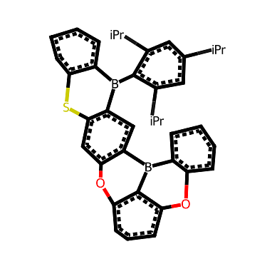 CC(C)c1cc(C(C)C)c(B2c3ccccc3Sc3cc4c(cc32)B2c3ccccc3Oc3cccc(c32)O4)c(C(C)C)c1